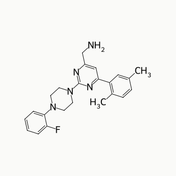 Cc1ccc(C)c(-c2cc(CN)nc(N3CCN(c4ccccc4F)CC3)n2)c1